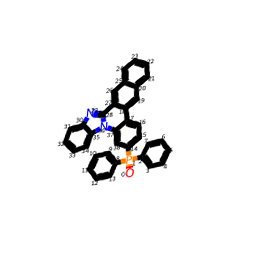 O=P(c1ccccc1)(c1ccccc1)c1ccc2c3cc4ccccc4cc3c3nc4ccccc4n3c2c1